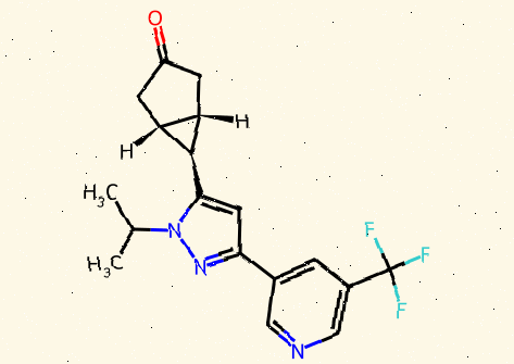 CC(C)n1nc(-c2cncc(C(F)(F)F)c2)cc1[C@H]1[C@@H]2CC(=O)C[C@@H]21